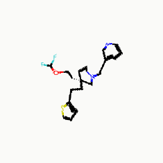 FC(F)OCC[C@]1(CCc2cccs2)CCN(Cc2cccnc2)C1